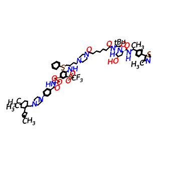 Cc1ncsc1-c1ccc([C@H](C)NC(=O)[C@@H]2C[C@@H](O)CN2C(=O)C(NC(=O)CCCCCC(=O)N2CCN(CCC(CSc3ccccc3)Nc3ccc(S(=O)(=O)NC(=O)c4ccc(N5CCN(CC6=C(C78CC(C)(C7)C8)CC(C)(C)CC6)CC5)cc4)cc3S(=O)(=O)C(F)(F)F)CC2)C(C)(C)C)cc1